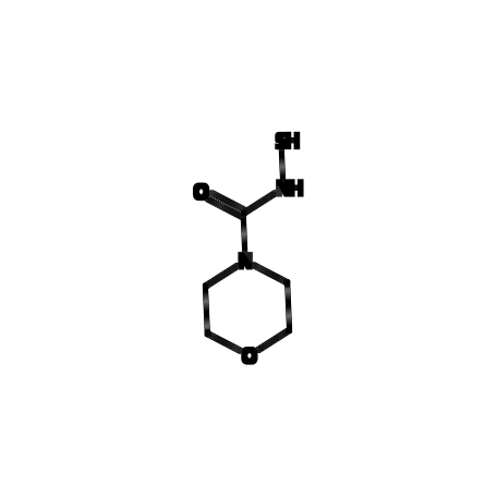 O=C(NS)N1CCOCC1